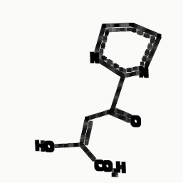 O=C(O)/C(O)=C\C(=O)c1ncccn1